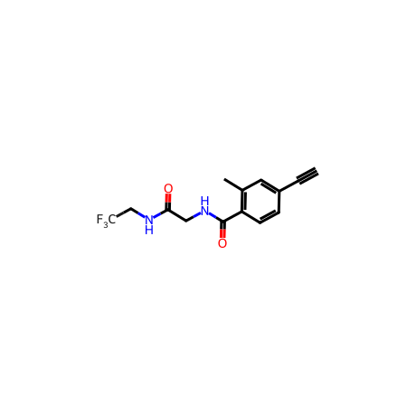 C#Cc1ccc(C(=O)NCC(=O)NCC(F)(F)F)c(C)c1